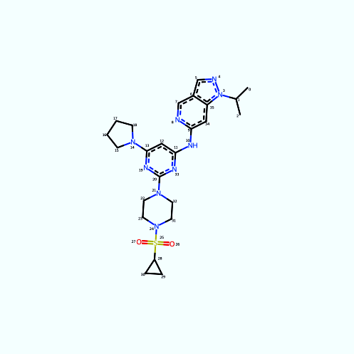 CC(C)n1ncc2cnc(Nc3cc(N4CCCC4)nc(N4CCN(S(=O)(=O)C5CC5)CC4)n3)cc21